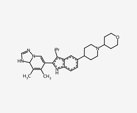 CC1=C(C)C2NC=NN2C=C1c1[nH]c2ccc(C3CCN(C4CCOCC4)CC3)cc2c1C(C)C